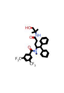 CN(C(=O)c1cc(C(F)(F)F)cc(C(F)(F)F)c1)C(CCC(=O)NC(C)(C)CO)C(c1ccccc1)c1ccccc1